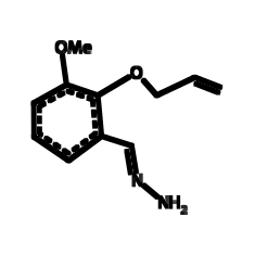 C=CCOc1c(C=NN)cccc1OC